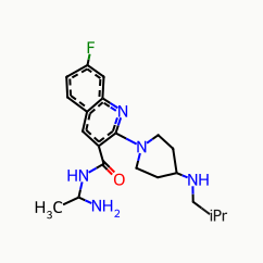 CC(C)CNC1CCN(c2nc3cc(F)ccc3cc2C(=O)NC(C)N)CC1